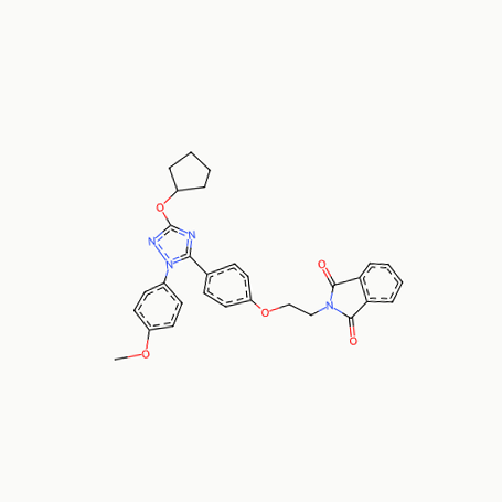 COc1ccc(-n2nc(OC3CCCC3)nc2-c2ccc(OCCN3C(=O)c4ccccc4C3=O)cc2)cc1